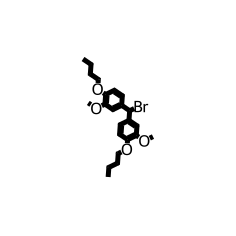 CCCCOc1ccc(C(Br)c2ccc(OCCCC)c(OC)c2)cc1OC